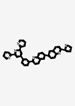 c1ccc(-c2cc(-c3cccc(-c4ccc5cc(-c6ccc7nc(-c8ccccn8)ccc7c6)ccc5n4)c3)cc(-c3ccccn3)n2)nc1